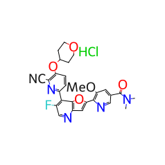 COc1cc(C(=O)N(C)C)cnc1-c1cc2ncc(F)c(-c3ccc(OC4CCOCC4)c(C#N)n3)c2o1.Cl